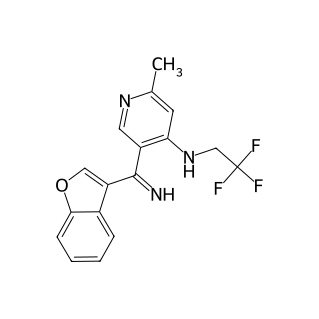 Cc1cc(NCC(F)(F)F)c(C(=N)c2coc3ccccc23)cn1